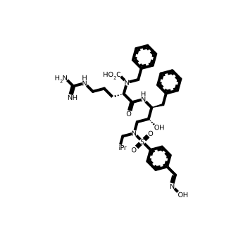 CC(C)CN(C[C@@H](O)[C@H](Cc1ccccc1)NC(=O)[C@H](CCCNC(=N)N)N(Cc1ccccc1)C(=O)O)S(=O)(=O)c1ccc(/C=N/O)cc1